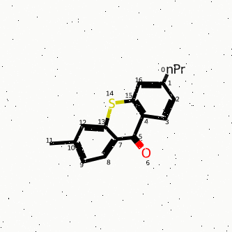 CCCc1ccc2c(=O)c3ccc(C)cc3sc2c1